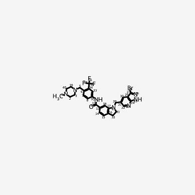 CN1CCN(Cc2ccc(NC(=O)c3ccc4c(c3)N(Cc3cnc5[nH]nc(Br)c5c3)CC4)cc2C(F)(F)F)CC1